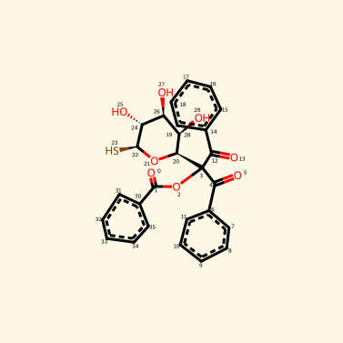 O=C(OC(C(=O)c1ccccc1)(C(=O)c1ccccc1)[C@H]1O[C@@H](S)[C@H](O)[C@@H](O)[C@H]1O)c1ccccc1